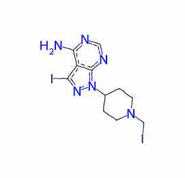 Nc1ncnc2c1c(I)nn2C1CCN(CI)CC1